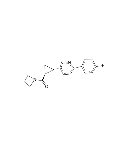 O=C([C@H]1C[C@@H]1c1ccc(-c2ccc(F)cc2)nc1)N1CCC1